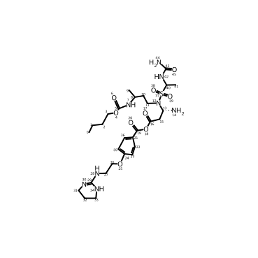 CCCCOC(=O)NC(C)CCN([C@H](N)CC(=O)OC(=O)c1ccc(OCCNC2=NCCCN2)cc1)S(=O)(=O)C(C)NC(N)=O